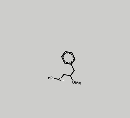 CCCNCC(Cc1ccccc1)OC